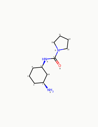 N[C@H]1CCC[C@@H](NC(=O)N2CCCC2)C1